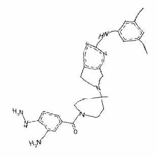 Cc1cc(C)cc(Nc2ncc3c(n2)CN(C2(C)CCN(C(=O)c4ccc(NN)c(N)c4)CC2)C3)c1